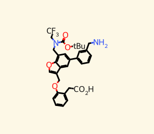 CC(C)(C)OC(=O)N(Cc1cc(-c2cccc(CN)c2)cc2c(COc3ccccc3CC(=O)O)coc12)CC(F)(F)F